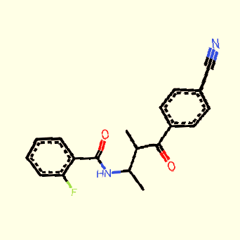 CC(NC(=O)c1ccccc1F)C(C)C(=O)c1ccc(C#N)cc1